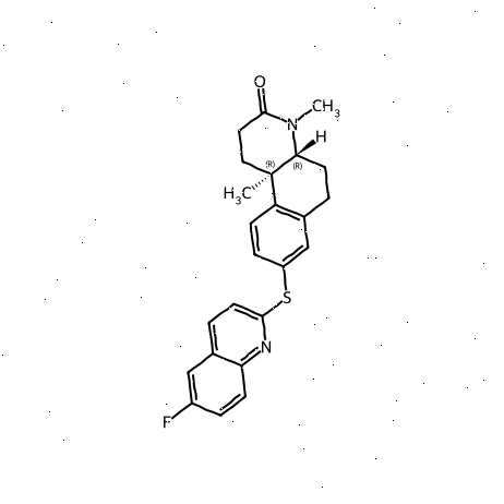 CN1C(=O)CC[C@]2(C)c3ccc(Sc4ccc5cc(F)ccc5n4)cc3CC[C@@H]12